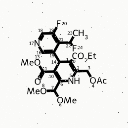 CCOC(=O)C1=C(COC(C)=O)NC(C(OC)OC)=C(C(=O)OC)C1c1cncc(F)c1C(C)F